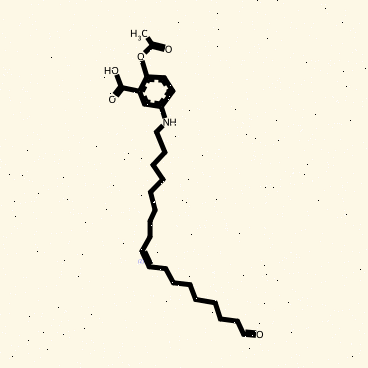 CC(=O)Oc1ccc(NCCCCCCCC/C=C\CCCCCCCC=O)cc1C(=O)O